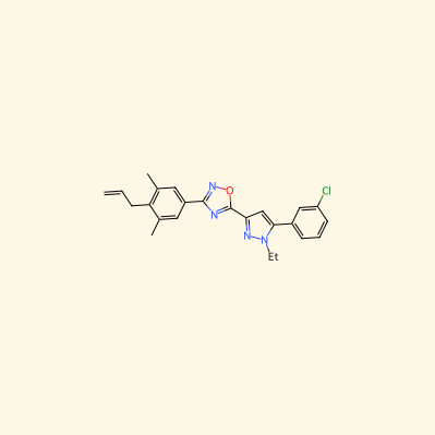 C=CCc1c(C)cc(-c2noc(-c3cc(-c4cccc(Cl)c4)n(CC)n3)n2)cc1C